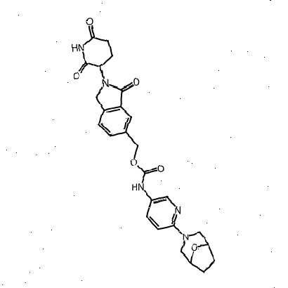 O=C1CCC(N2Cc3ccc(COC(=O)Nc4ccc(N5CC6CCC(C5)O6)nc4)cc3C2=O)C(=O)N1